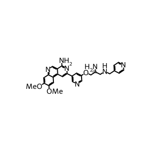 COc1cc2ncc3c(N)nc(-c4cncc(OC[C@@H](N)CNCc5ccncc5)c4)cc3c2cc1OC